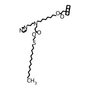 CCCCCCCCCCCCCCSCCOC(=O)CCN(CCCCCCCCOC(=O)CC12C3C4C5C3C1C5C42)CCCn1ccnc1